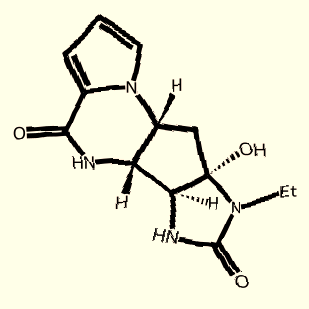 CCN1C(=O)N[C@H]2[C@@H]3NC(=O)c4cccn4[C@@H]3C[C@]21O